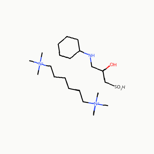 C[N+](C)(C)CCCCCC[N+](C)(C)C.O=S(=O)(O)CC(O)CNC1CCCCC1